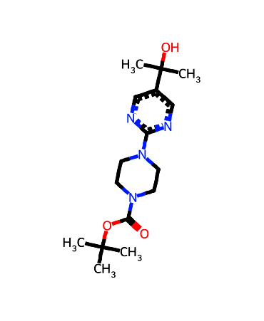 CC(C)(C)OC(=O)N1CCN(c2ncc(C(C)(C)O)cn2)CC1